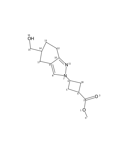 COC(=O)C1CC(n2cc3c(n2)CCC(CO)C3)C1